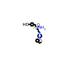 C#Cc1ccc2cc(N(CCCCN3CCCN(c4cccc5c4OCC5)CC3)C(N)=O)sc2c1